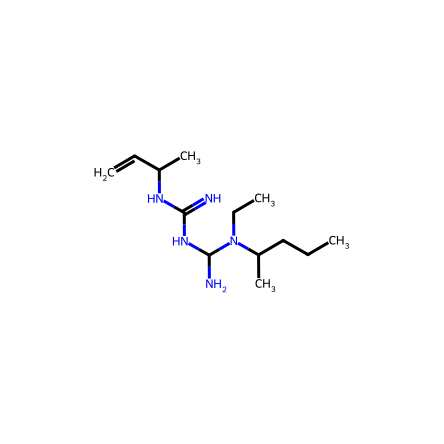 C=CC(C)NC(=N)NC(N)N(CC)C(C)CCC